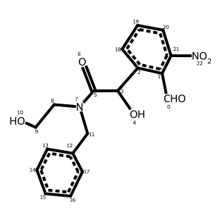 O=Cc1c(C(O)C(=O)N(CCO)Cc2ccccc2)cccc1[N+](=O)[O-]